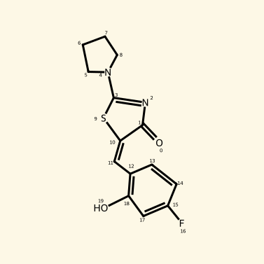 O=C1N=C(N2CCCC2)SC1=Cc1ccc(F)cc1O